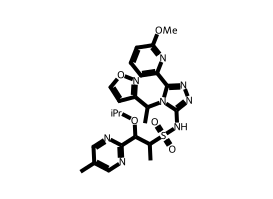 COc1cccc(-c2nnc(NS(=O)(=O)C(C)C(OC(C)C)c3ncc(C)cn3)n2C(C)c2ccon2)n1